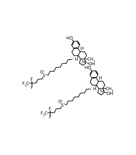 C[C@]12CC[C@@H]3c4ccc(O)cc4C[C@@H](CCCCCCCCC[S+]([O-])CCCC(F)(F)C(F)(F)F)[C@H]3[C@@H]1CC[C@@H]2O.C[C@]12CC[C@@H]3c4ccc(O)cc4C[C@@H](CCCCCCCCC[S+]([O-])CCCC(F)(F)C(F)(F)F)[C@H]3[C@@H]1CC[C@@H]2O